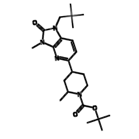 CC1CC(c2ccc3c(n2)n(C)c(=O)n3CC(C)(C)C)CCN1C(=O)OC(C)(C)C